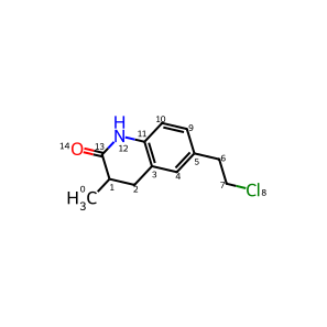 CC1Cc2cc(CCCl)ccc2NC1=O